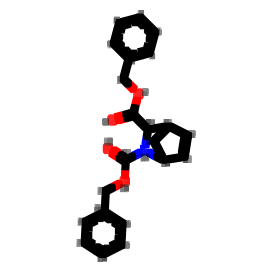 O=C(OCc1ccccc1)C1C2C=CC(C2)N1C(=O)OCc1ccccc1